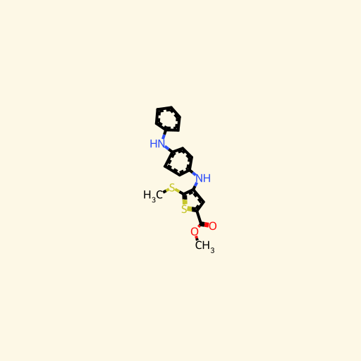 COC(=O)c1cc(Nc2ccc(Nc3ccccc3)cc2)c(SC)s1